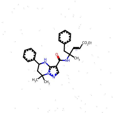 CCOC(=O)/C=C/C(C)(Cc1ccccc1)NC(=O)c1cnn2c1NC(c1ccccc1)CC2(C)C